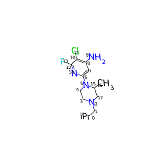 CC(C)CN1CCN(c2cc(N)c(Cl)c(F)n2)C(C)C1